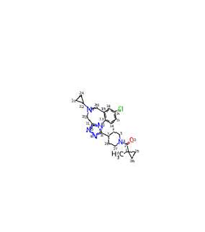 CC1(C(=O)N2CCC(c3nnc4n3-c3ccc(Cl)cc3CN(C3CC3)C4)CC2)CC1